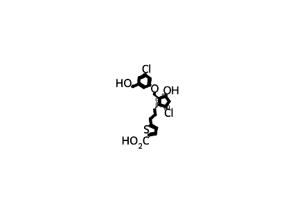 O=C(O)c1ccc(CCC[C@@H]2[C@@H](COc3cc(Cl)cc(CO)c3)[C@H](O)C[C@H]2Cl)s1